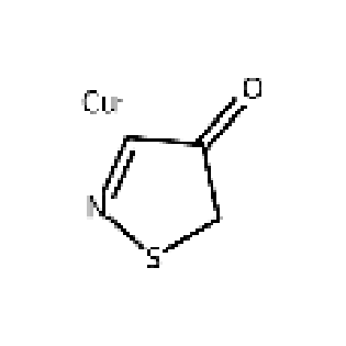 O=C1C=NSC1.[Cu]